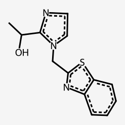 CC(O)c1nccn1Cc1nc2ccccc2s1